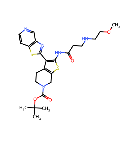 COCCNCCC(=O)Nc1sc2c(c1-c1nc3cnccc3s1)CCN(C(=O)OC(C)(C)C)C2